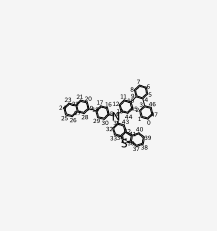 c1ccc(-c2ccccc2-c2ccc(N(c3ccc(-c4ccc5ccccc5c4)cc3)c3ccc4sc5ccccc5c4c3)cc2)cc1